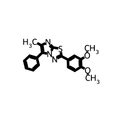 COc1ccc(-c2nn3c(-c4ccccc4)c(C)nc3s2)cc1OC